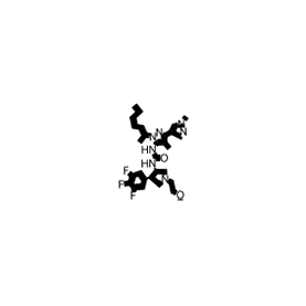 C=C/C=C\C=C(/C)n1nc(-c2cnn(C)c2)c(C)c1NC(=O)N[C@@H]1CN(CCOC)C[C@H]1c1cc(F)c(F)c(F)c1